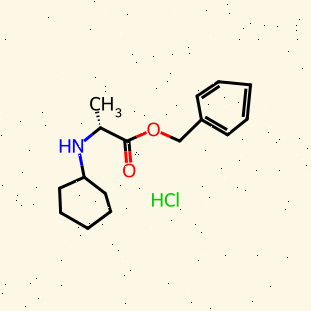 C[C@@H](NC1CCCCC1)C(=O)OCc1ccccc1.Cl